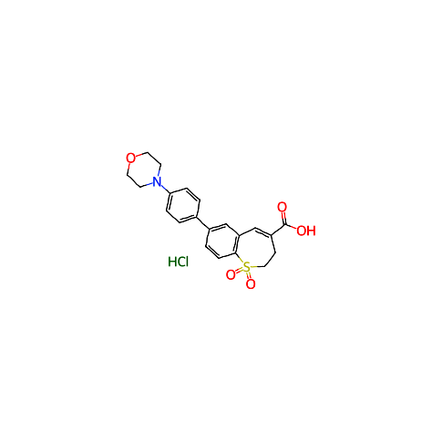 Cl.O=C(O)C1=Cc2cc(-c3ccc(N4CCOCC4)cc3)ccc2S(=O)(=O)CC1